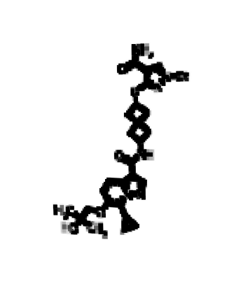 CCn1cc(C(N)=O)c(O[C@H]2CC3(C[C@H](NC(=O)c4cnn5c(C6CC6)c(OCC(C)(C)O)ccc45)C3)C2)n1